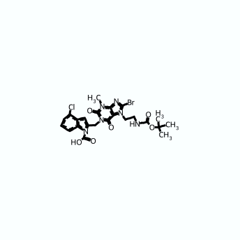 Cn1c(=O)n(Cc2cc3c(Cl)cccc3n2C(=O)O)c(=O)c2c1nc(Br)n2CCNC(=O)OC(C)(C)C